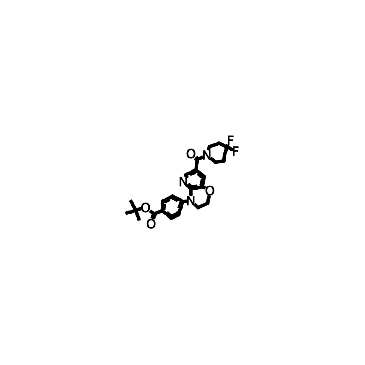 CC(C)(C)OC(=O)c1ccc(N2CCOc3cc(C(=O)N4CCC(F)(F)CC4)cnc32)cc1